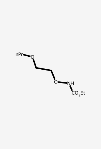 CCCOCCONC(=O)OCC